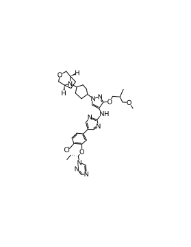 CC[C@H](Oc1cc(-c2cnc(Nc3cn(C4CCC(N5[C@@H]6CC[C@H]5COC6)CC4)nc3OCC(C)COC)nc2)ccc1Cl)n1cncn1